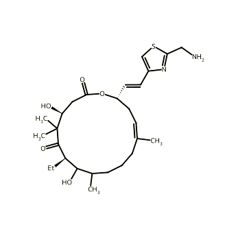 CC[C@H]1C(=O)C(C)(C)[C@@H](O)CC(=O)O[C@H](C=Cc2csc(CN)n2)C/C=C(/C)CCCC(C)C1O